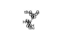 CCNc1nc(CCCn2ccn([C@@H](CC(=O)OC(C)(C)C)c3ccc4c(c3)OCC4)c2=O)cc(NC(=O)C(C)(C)C)n1